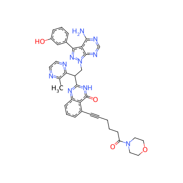 Cc1nccnc1C(Cn1nc(-c2cccc(O)c2)c2c(N)ncnc21)c1nc2cccc(C#CCCCC(=O)N3CCOCC3)c2c(=O)[nH]1